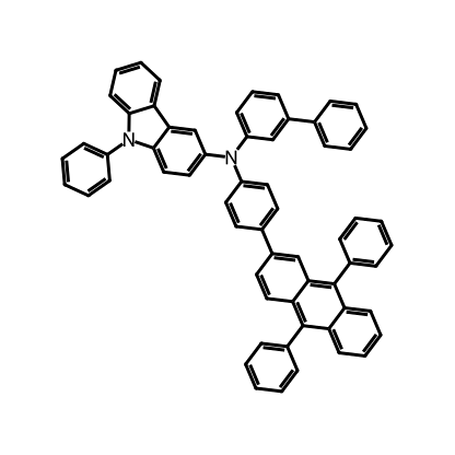 c1ccc(-c2cccc(N(c3ccc(-c4ccc5c(-c6ccccc6)c6ccccc6c(-c6ccccc6)c5c4)cc3)c3ccc4c(c3)c3ccccc3n4-c3ccccc3)c2)cc1